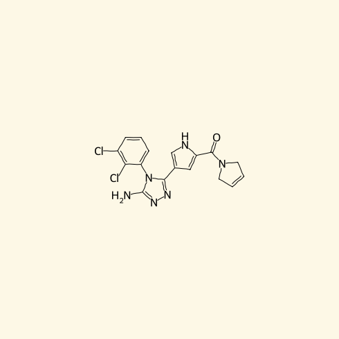 Nc1nnc(-c2c[nH]c(C(=O)N3CC=CC3)c2)n1-c1cccc(Cl)c1Cl